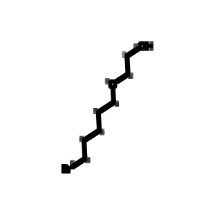 OCCOCCCCCBr